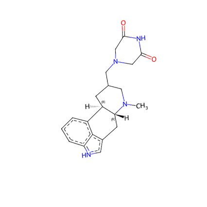 CN1CC(CN2CC(=O)NC(=O)C2)C[C@@H]2c3cccc4[nH]cc(c34)C[C@H]21